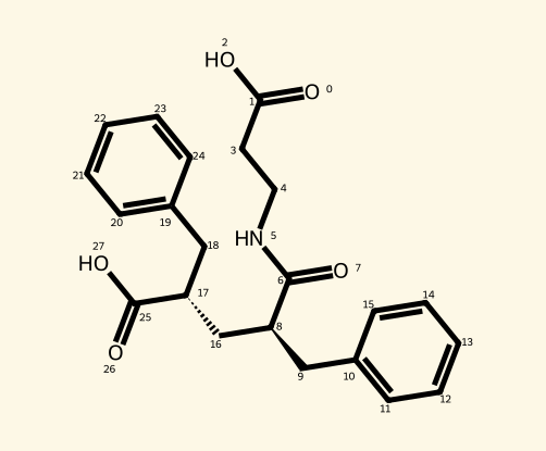 O=C(O)CCNC(=O)[C@@H](Cc1ccccc1)C[C@@H](Cc1ccccc1)C(=O)O